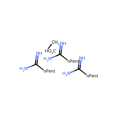 CC(=O)O.CCCCCC(=N)N.CCCCCC(=N)N.CCCCCC(=N)N